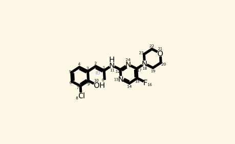 C/C(=C\c1cccc(Cl)c1O)Nc1ncc(F)c(N2CCOCC2)n1